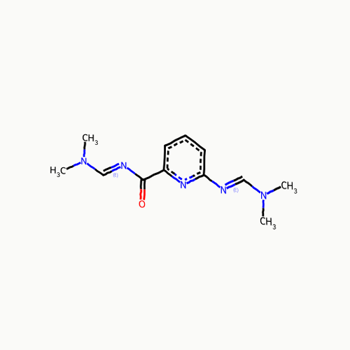 CN(C)/C=N/C(=O)c1cccc(/N=C/N(C)C)n1